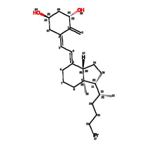 C=C1C(=CC=C2CCC[C@]3(C)[C@@H]([C@H](C)CCCC(C)C)CC[C@@H]23)C[C@@H](O)C[C@@H]1O